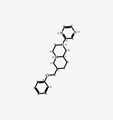 c1ccc(OCC2CCC3CN(c4cnccn4)CCN3C2)cc1